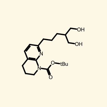 CC(C)(C)OC(=O)N1CCCc2ccc(CCCC(CO)CO)nc21